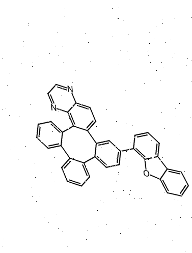 c1ccc2c(c1)-c1ccc(-c3cccc4c3oc3ccccc34)cc1-c1ccc3nccnc3c1-c1ccccc1-2